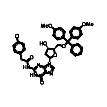 COc1ccc(C(OC[C@H]2O[C@@H](n3cnc4c(=O)[nH]c(NC(=O)Cc5ccc(Cl)cc5)nc43)C[C@@H]2O)(c2ccccc2)c2ccc(OC)cc2)cc1